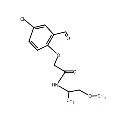 COCC(C)NC(=O)COc1ccc(Cl)cc1C=O